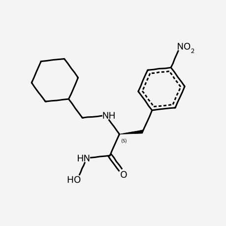 O=C(NO)[C@H](Cc1ccc([N+](=O)[O-])cc1)NCC1CCCCC1